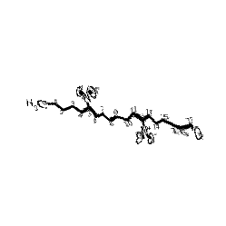 CCCCCC(=CCC=CCC=C(CCCCC=O)[N+](=O)[O-])[N+](=O)[O-]